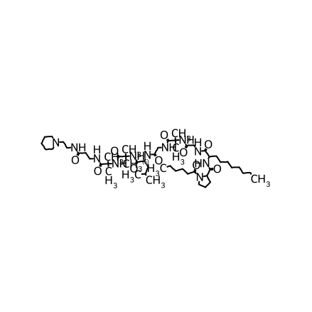 CCCCCCCCC(NC(=O)C1CCCN1C(=O)CCCCC)C(=O)NCC(=O)NC(C)(C)C(=O)NCC(=O)N[C@@H](CC(C)C)C(=O)NC(C)(C)C(=O)NC(C)(C)C(=O)NCCC(=O)NCCN1CCCCC1